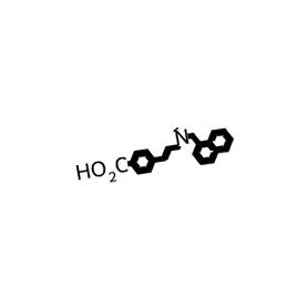 CN(CC=Cc1ccc(C(=O)O)cc1)Cc1cccc2ccccc12